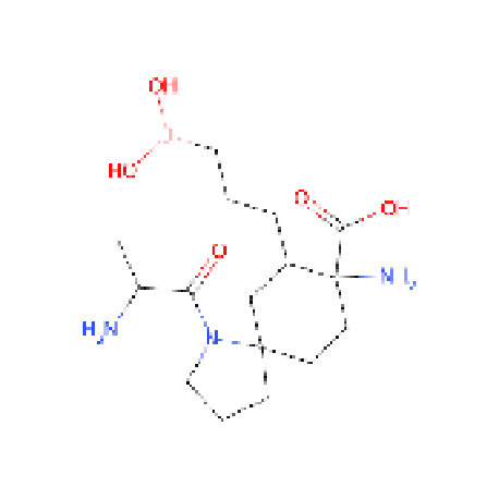 CC(N)C(=O)N1CCCC12CCC(N)(C(=O)O)C(CCCB(O)O)C2